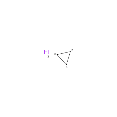 C1CC1.I